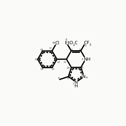 CCOC(=O)C1=C(C(F)(F)F)Nc2n[nH]c(C)c2C1c1ccccc1Cl